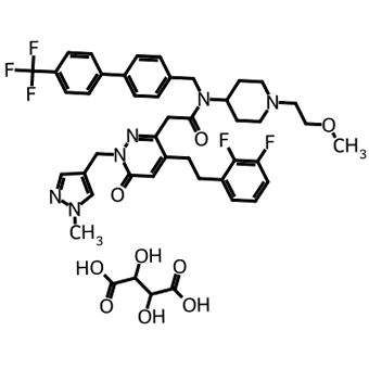 COCCN1CCC(N(Cc2ccc(-c3ccc(C(F)(F)F)cc3)cc2)C(=O)Cc2nn(Cc3cnn(C)c3)c(=O)cc2CCc2cccc(F)c2F)CC1.O=C(O)C(O)C(O)C(=O)O